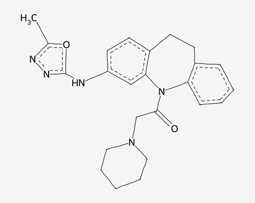 Cc1nnc(Nc2ccc3c(c2)N(C(=O)CN2CCCCC2)c2ccccc2CC3)o1